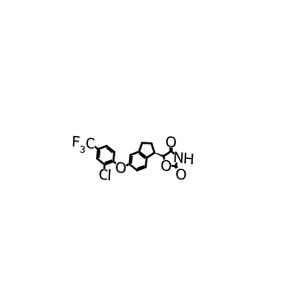 O=C1NC(=O)C([C@@H]2CCc3cc(Oc4ccc(C(F)(F)F)cc4Cl)ccc32)O1